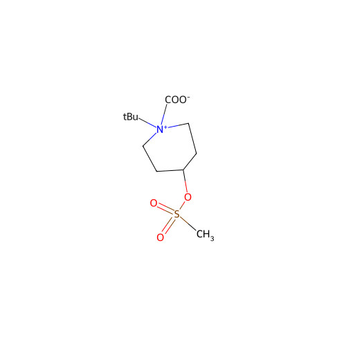 CC(C)(C)[N+]1(C(=O)[O-])CCC(OS(C)(=O)=O)CC1